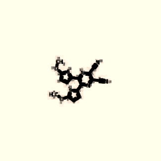 COc1ccc(-c2nc(C#N)c(C#N)nc2-c2ccc(OC)s2)s1